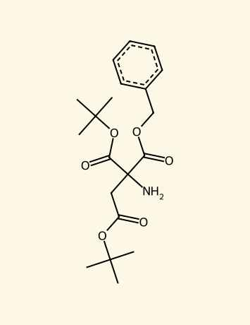 CC(C)(C)OC(=O)CC(N)(C(=O)OCc1ccccc1)C(=O)OC(C)(C)C